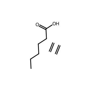 C=C.C=C.CCCCCC(=O)O